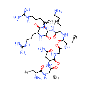 CC[C@H](C)[C@H](NC(=O)[C@@H](N)CC(C)C)C(=O)N[C@@H](CC(N)=O)C(=O)NCC(=O)N[C@@H](CC(C)C)C(=O)N[C@@H](CCCCN)C(=O)N[C@@H](CC(C)C)C(=O)N[C@@H](CCCNC(=N)N)C(=O)N[C@@H](CCCNC(=N)N)C(=O)O